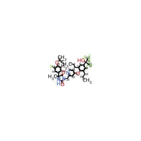 CCCc1cc(C(O)(C(F)(F)F)C(F)(F)F)cc(CCC)c1Oc1ccnc(CN2C(=O)NC(C)(c3ccc(OC(C)C)c(F)c3)C2=O)c1